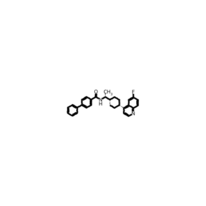 C[C@@H](NC(=O)c1ccc(-c2ccccc2)cc1)[C@H]1CC[C@@H](c2ccnc3ccc(F)cc32)CC1